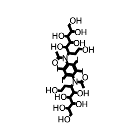 CC(=O)N(c1c(I)c(I)c(N(C(C)=O)C(CCO)C(O)C(O)C(O)C(O)CO)c(I)c1I)C(CCO)C(O)C(O)C(O)C(O)CO